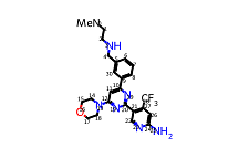 CNCCNCc1cccc(-c2cc(N3CCOCC3)nc(-c3cnc(N)cc3C(F)(F)F)n2)c1